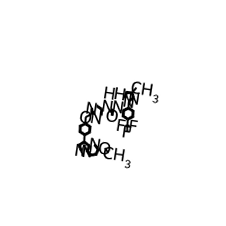 COc1ccn2ncc(-c3ccc(Oc4ncc(NC(=O)Nc5cc(C(F)(F)F)ccc5-n5ccc(C)n5)cn4)cc3)c2n1